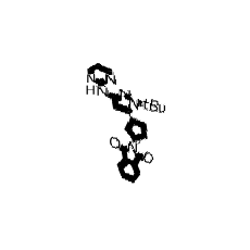 CC(C)(C)n1nc(Nc2ncccn2)cc1[C@@H]1CC[C@H](N2C(=O)c3ccccc3C2=O)C1